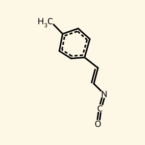 Cc1ccc(/C=C/N=C=O)cc1